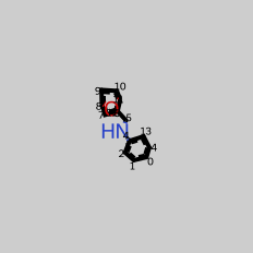 c1ccc(NCc2cc3ccc2o3)cc1